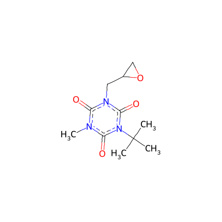 Cn1c(=O)n(CC2CO2)c(=O)n(C(C)(C)C)c1=O